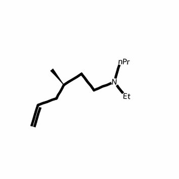 C=CC[C@@H](C)CCN(CC)CCC